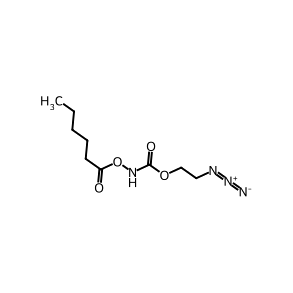 CCCCCC(=O)ONC(=O)OCCN=[N+]=[N-]